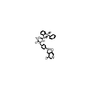 COC(=O)[C@H](Cc1ccc(NCc2c(Cl)cncc2Cl)cc1)NC(=O)Nc1ccccc1S(=O)(=O)c1ccccc1